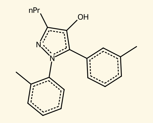 CCCc1nn(-c2ccccc2C)c(-c2cccc(C)c2)c1O